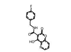 O=C(NCc1ccc(F)cc1)c1c(O)c2ncccc2oc1=O